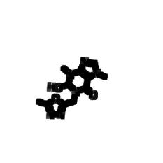 Cc1nnc(CN2C(=O)c3c(ncn3C)N(C)C2O)o1